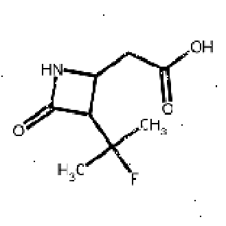 CC(C)(F)C1C(=O)NC1CC(=O)O